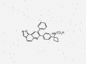 O=C(O)NC1(c2ccc(-c3nc4ccn5cnnc5c4cc3-c3ccccc3)cc2)CCC1